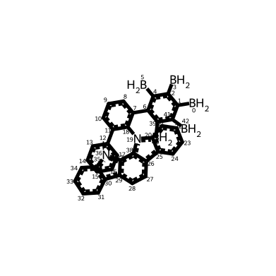 Bc1c(B)c(B)c(-c2cccc(-c3ccccc3)c2-n2c3ccccc3c3ccc4c5ccccc5[nH]c4c32)c(B)c1B